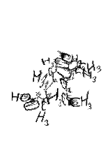 CC(C=CC=C(C)c1cc2c(cc1OCC(C)C)C(C)(C)CCC2(C)C)=CC(=O)O